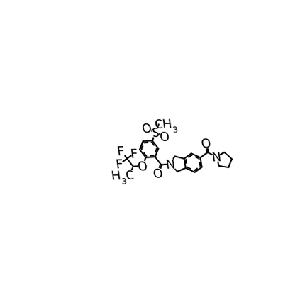 C[C@H](Oc1ccc(S(C)(=O)=O)cc1C(=O)N1Cc2ccc(C(=O)N3CCCC3)cc2C1)C(F)(F)F